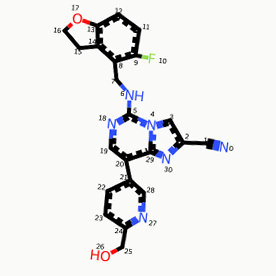 N#Cc1cn2c(NCc3c(F)ccc4c3CCO4)ncc(-c3ccc(CO)nc3)c2n1